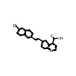 O=C(O)c1ccnc2ccc(/C=C/c3ccc4cc(Cl)ccc4c3)cc12